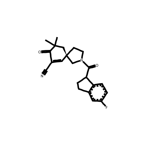 CC1(C)C[C@@]2(C=C(C#N)C1=O)CCN(C(=O)C1CCc3cc(F)ccc31)C2